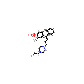 O.O.OCCN1CCN(CCC=C2c3ccccc3Sc3ccc(C(F)(F)F)cc32)CC1